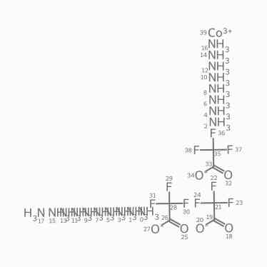 N.N.N.N.N.N.N.N.N.N.N.N.N.N.N.N.N.N.O=C([O-])C(F)(F)F.O=C([O-])C(F)(F)F.O=C([O-])C(F)(F)F.[Co+3]